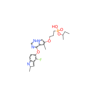 CCC(C)OP(=O)(O)CCCOc1cn2ncnc(Oc3ccc4c(c3F)=CC(C)N=4)c2c1C